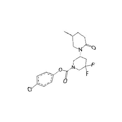 CC1CCC(=O)N([C@H]2CN(C(=O)Oc3ccc(Cl)cc3)CC(F)(F)C2)C1